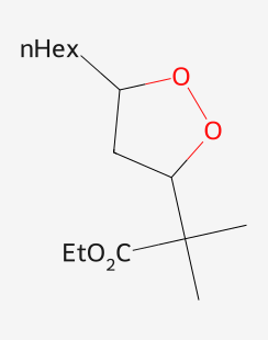 CCCCCCC1CC(C(C)(C)C(=O)OCC)OO1